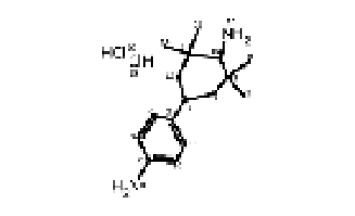 CC1(C)CC(c2ccc(N)cc2)CC(C)(C)C1N.Cl.Cl